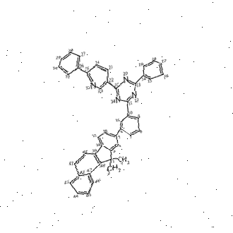 CC1(C)c2cc(-c3cccc(-c4nc(-c5ccccc5)nc(-c5ccc(-c6ccccc6)nc5)n4)c3)ccc2-c2ccc3ccccc3c21